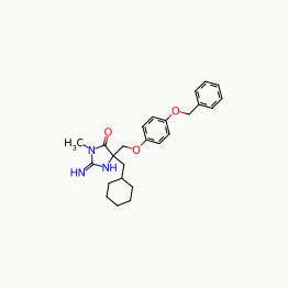 CN1C(=N)NC(COc2ccc(OCc3ccccc3)cc2)(CC2CCCCC2)C1=O